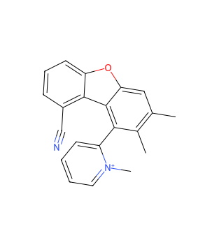 Cc1cc2oc3cccc(C#N)c3c2c(-c2cccc[n+]2C)c1C